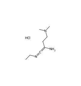 CCN=C=C(N)CCN(C)C.Cl